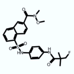 CON(C)C(=O)c1ccc2c(S(=O)(=O)Nc3ccc(NC(=O)C(C)(C)CF)cc3)cccc2c1